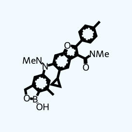 CNC(=O)c1c(-c2ccc(C)cc2)oc2cc(N(NC)c3cc(C)c4c(c3)COB4O)c(C3CC3)cc12